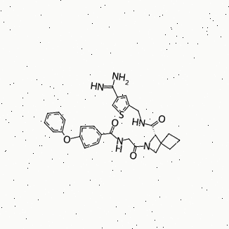 N=C(N)c1csc(CNC(=O)[C@H]2N(C(=O)CNC(=O)c3ccc(Oc4ccccc4)cc3)CC23CCC3)c1